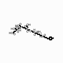 N[C@@H](CCCCNC(=O)CCCc1ccc(I)cc1)C(=O)NCCOCC(=O)N(CCCC[C@H](NC(=O)N[C@@H](CCC(=O)O)C(=O)O)C(=O)O)CC(=O)O